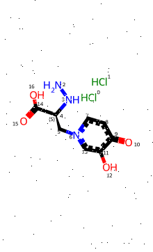 Cl.Cl.NN[C@@H](Cn1ccc(=O)c(O)c1)C(=O)O